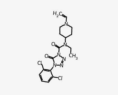 C=CN1CCC(N(CC)C(=O)n2nnn(-c3c(Cl)cccc3Cl)c2=O)CC1